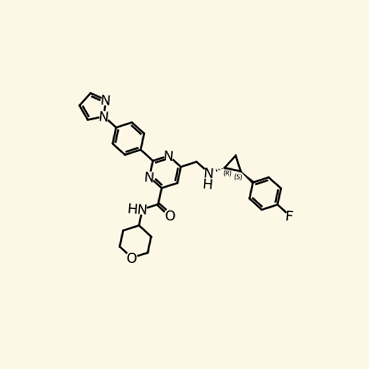 O=C(NC1CCOCC1)c1cc(CN[C@@H]2C[C@H]2c2ccc(F)cc2)nc(-c2ccc(-n3cccn3)cc2)n1